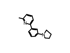 Cc1cccc(-c2cccc(N3CCCC3)c2)n1